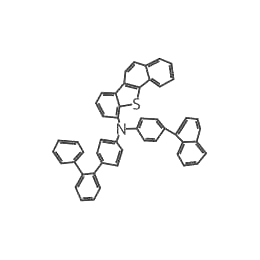 c1ccc(-c2ccccc2-c2ccc(N(c3ccc(-c4cccc5ccccc45)cc3)c3cccc4c3sc3c5ccccc5ccc43)cc2)cc1